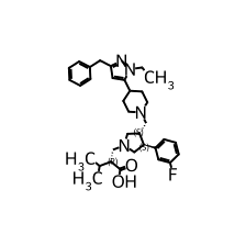 CCn1nc(Cc2ccccc2)cc1C1CCN(C[C@H]2CN(C[C@H](C(=O)O)C(C)C)C[C@@H]2c2cccc(F)c2)CC1